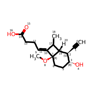 C#C[C@H]1[C@H](O)CC[C@]2(OC)C(=CCCC(=O)O)C(C)[C@H]12